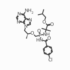 CC(C)COC(=O)C(C)(C)NP(=O)(CO[C@@H](C)Cn1cnc2c(N)ncnc21)NC(=O)c1ccc(Cl)cc1